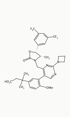 COc1ccc(C(C)(C)CC(=O)O)cc1-c1cnc(N2CCC2)nc1CN1C(=O)O[C@H](c2cc(C(F)(F)F)cc(C(F)(F)F)c2)[C@@H]1C